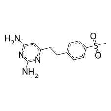 CS(=O)(=O)c1ccc(CCc2cc(N)nc(N)n2)cc1